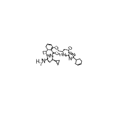 NC1=NN(C(=O)C2=C(OCC3CC(=O)n4nc(C5CC=CCC5)nc4N3)C=CCC2Cl)C(C2CC2)C1